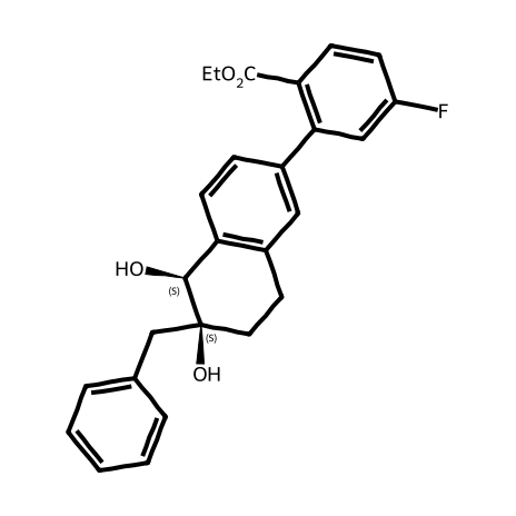 CCOC(=O)c1ccc(F)cc1-c1ccc2c(c1)CC[C@](O)(Cc1ccccc1)[C@H]2O